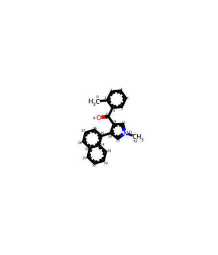 Cc1ccccc1C(=O)c1cn(C)cc1-c1cccc2ccccc12